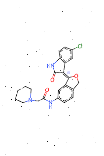 O=C(CN1CCCCC1)Nc1ccc2c(c1)/C(=C1\C(=O)Nc3ccc(Cl)cc31)OC2